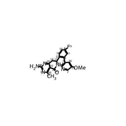 COc1cncc(-c2cc(F)ccc2C2Cc3nc(N)nc(C)c3C(=O)N2)c1